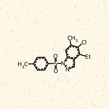 CCc1c(Cl)c(C)cc2c1cnn2S(=O)(=O)c1ccc(C)cc1